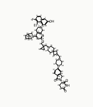 CCc1c(F)ccc2cc(O)cc(N3CCc4c(nc(OCC5(CN6CCC7(CC6)CC(CN6CCN(c8ccc9c(c8)CN([C@H]8CCC(=O)NC8=O)C9=O)CC6)C7)CC5)nc4N4CC5CCC(C4)N5)C3)c12